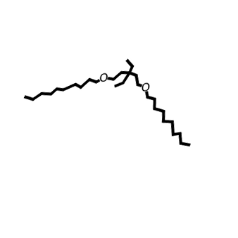 CCCCCCCCCCOCCC(CC)(CC)CCOCCCCCCCCCC